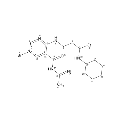 CCC(CCNc1ncc(Br)cc1C(=O)NC(C)=N)NC1CCCCC1